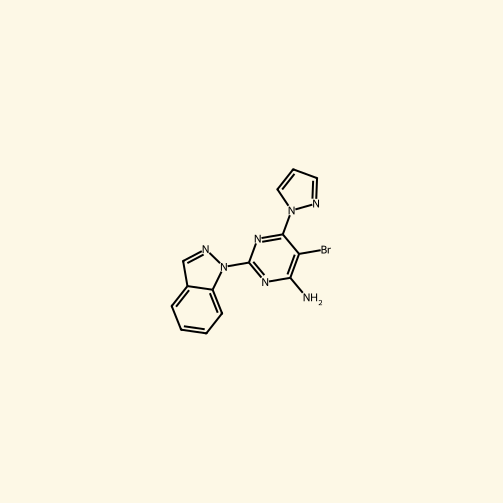 Nc1nc(-n2ncc3ccccc32)nc(-n2cccn2)c1Br